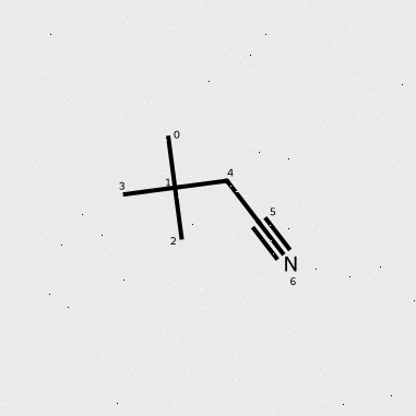 CC(C)(C)CC#N